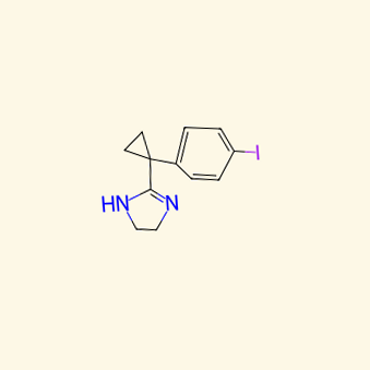 Ic1ccc(C2(C3=NCCN3)CC2)cc1